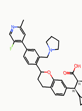 Cc1cc(-c2ccc(C3CCc4ccc([C@H](C5CC5)[C@H](C)C(=O)O)cc4O3)c(CN3CCCC3)c2)c(F)cn1